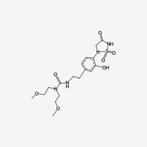 COCCN(CCOC)C(=O)NCCc1ccc(N2CC(=O)NS2(=O)=O)c(O)c1